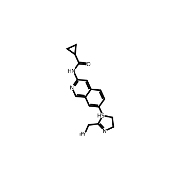 CC(C)CC1=NCC[SH]1c1ccc2cc(NC(=O)C3CC3)ncc2c1